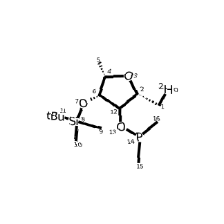 [2H]C[C@H]1O[C@@H](C)[C@@H](O[Si](C)(C)C(C)(C)C)C1OP(C)C